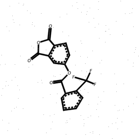 O=C1OC(=O)c2cc(OC(=O)c3ccccc3C(F)(F)F)ccc21